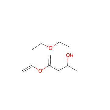 C=COC(=C)CC(C)O.CCOCC